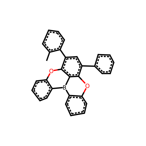 Cc1ccccc1-c1cc(-c2ccccc2)c2c3c1Oc1ccccc1B3c1ccccc1O2